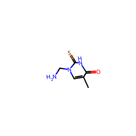 Cc1cn(CN)c(=S)[nH]c1=O